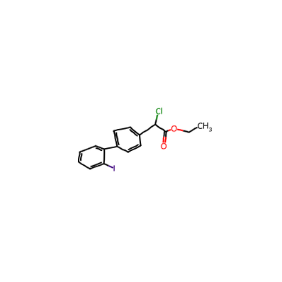 CCOC(=O)C(Cl)c1ccc(-c2ccccc2I)cc1